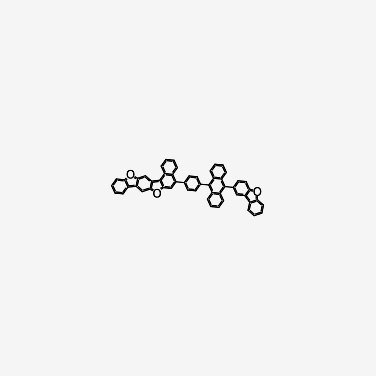 c1ccc2c(c1)oc1ccc(-c3c4ccccc4c(-c4ccc(-c5cc6oc7cc8c(cc7c6c6ccccc56)oc5ccccc58)cc4)c4ccccc34)cc12